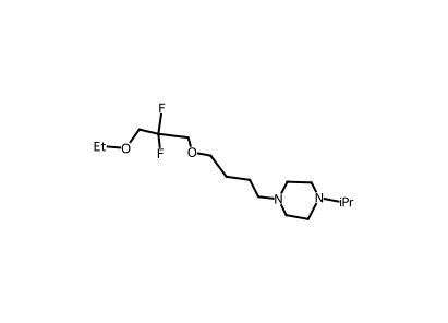 CCOCC(F)(F)COCCCCN1CCN(C(C)C)CC1